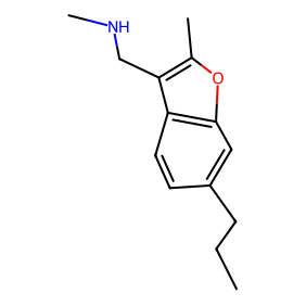 CCCc1ccc2c(CNC)c(C)oc2c1